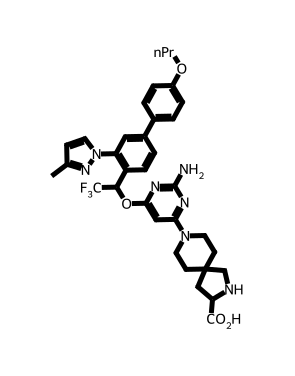 CCCOc1ccc(-c2ccc(C(Oc3cc(N4CCC5(CC4)CNC(C(=O)O)C5)nc(N)n3)C(F)(F)F)c(-n3ccc(C)n3)c2)cc1